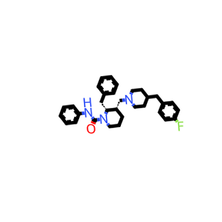 O=C(Nc1ccccc1)N1CCC[C@@H](CN2CCC(Cc3ccc(F)cc3)CC2)[C@H]1Cc1ccccc1